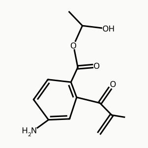 C=C(C)C(=O)c1cc(N)ccc1C(=O)OC(C)O